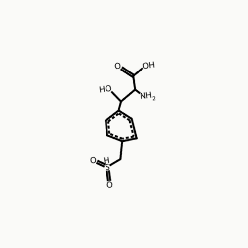 NC(C(=O)O)C(O)c1ccc(C[SH](=O)=O)cc1